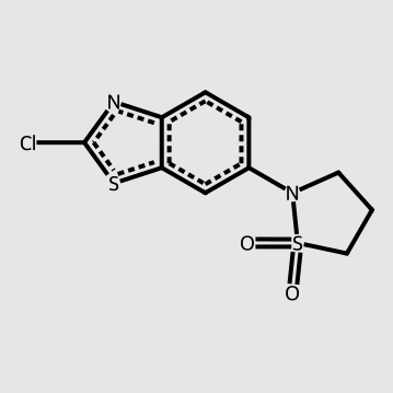 O=S1(=O)CCCN1c1ccc2nc(Cl)sc2c1